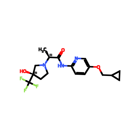 C[C@@H](C(=O)Nc1ccc(OCC2CC2)cn1)N1CC[C@](O)(C(F)(F)F)C1